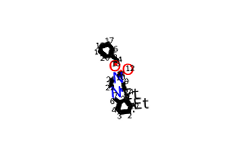 CCc1[c]ccc(CN2CCN(C(=O)OCc3ccccc3)CC2)c1CC